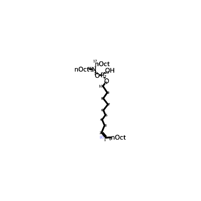 CCCCCCCC/C=C\CCCCCCCCOP(O)ON(CCCCCCCC)CCCCCCCC